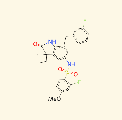 COc1ccc(S(=O)(=O)Nc2cc(Cc3cccc(F)c3)c3c(c2)C2(CCC2)C(=O)N3)c(F)c1